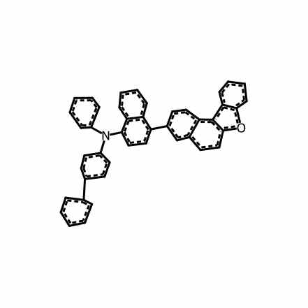 c1ccc(-c2ccc(N(c3ccccc3)c3ccc(-c4ccc5c(ccc6oc7ccccc7c65)c4)c4ccccc34)cc2)cc1